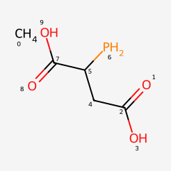 C.O=C(O)CC(P)C(=O)O